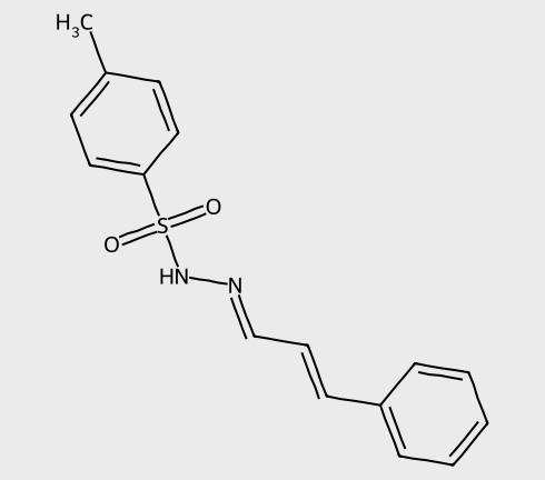 Cc1ccc(S(=O)(=O)NN=CC=Cc2ccccc2)cc1